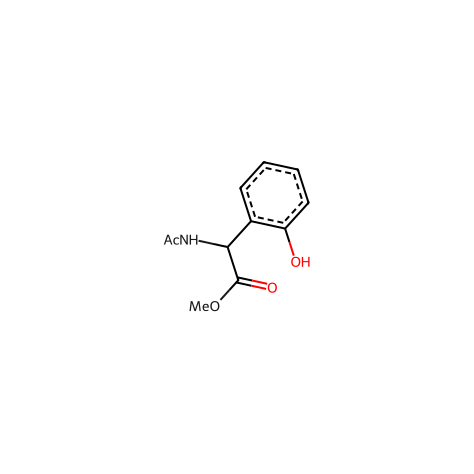 COC(=O)C(NC(C)=O)c1ccccc1O